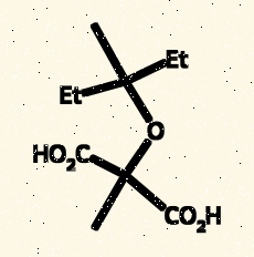 CCC(C)(CC)OC(C)(C(=O)O)C(=O)O